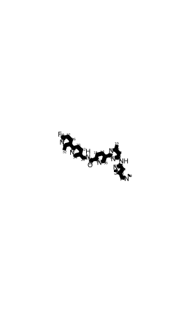 C/N=C\c1cc(Nc2cc(C)nc(-c3ccc(C(=O)NCc4ccc(-c5ccc(F)nc5C)nc4)nc3)n2)ns1